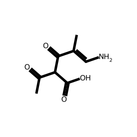 CC(=O)C(C(=O)O)C(=O)C(C)=CN